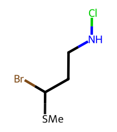 CSC(Br)CCNCl